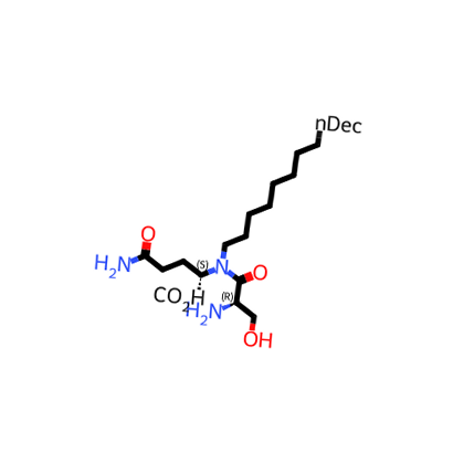 CCCCCCCCCCCCCCCCCCN(C(=O)[C@H](N)CO)[C@@H](CCC(N)=O)C(=O)O